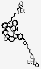 CCC1(COCCCCCOCc2ccc3oc4ccc5c6cc(COCCCCCOCC7(CC)COC7)ccc6n(-c6nc(-c7ccccc7)c7ccccc7n6)c5c4c3c2)COC1